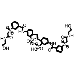 O=C(CS(=O)(=O)c1cccc(C(=O)Nc2ccc(C=Cc3ccc(NC(=O)c4cccc(S(=O)(=O)CC(=O)NCCO)c4)cc3S(=O)(=O)O)c(S(=O)(=O)O)c2)c1)NCCO